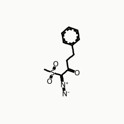 CS(=O)(=O)C(=[N+]=[N-])C(=O)CCc1ccccc1